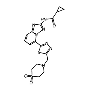 O=C(Nc1nc2cccc(-c3nnc(CN4CCS(=O)(=O)CC4)s3)n2n1)C1CC1